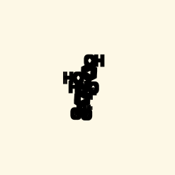 O=C(Nc1ccc([N+](=O)[O-])cc1F)c1ccc(O)cc1O